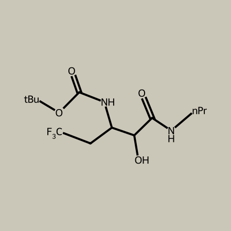 CCCNC(=O)C(O)C(CC(F)(F)F)NC(=O)OC(C)(C)C